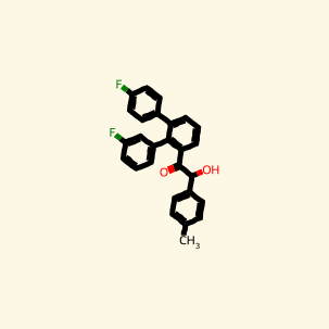 Cc1ccc(C(O)C(=O)c2cccc(-c3ccc(F)cc3)c2-c2cccc(F)c2)cc1